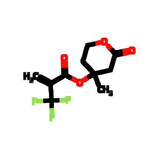 C=C(C(=O)OC1(C)CCOC(=O)C1)C(F)(F)F